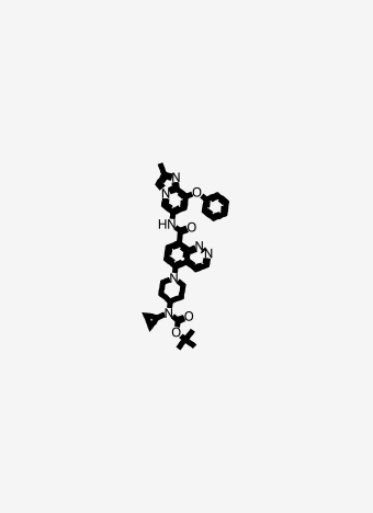 Cc1cn2cc(NC(=O)c3ccc(N4CCC(N(C(=O)OC(C)(C)C)C5CC5)CC4)c4ccnnc34)cc(Oc3ccccc3)c2n1